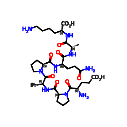 CC(C)[C@H](NC(=O)[C@@H]1CCCN1C(=O)[C@@H](N)CCC(=O)O)C(=O)N1CCC[C@H]1C(=O)N[C@H](CCC(N)=O)C(=O)N[C@@H](C)C(=O)N[C@@H](CCCCN)C(=O)O